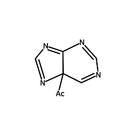 CC(=O)C12C=NC=NC1=NC=N2